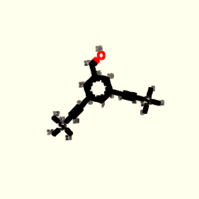 C[Si](C)(C)C#Cc1cc(C#C[Si](C)(C)C)cc(C=O)c1